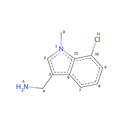 Cn1cc(CN)c2cccc(Cl)c21